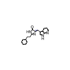 O=C1NC(CCc2ccccc2)=N/C1=C\c1c[nH]c2ncccc12